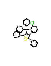 Clc1cccc2c1C(c1ccccc1)(c1ccccc1)c1c(-c3ccccc3)sc(-c3ccccc3)c1-2